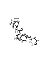 O=C(N[C@@H]1CN2CCC23CC[C@H]13)c1n[nH]c2ccc(OC3CCOCC3)cc12